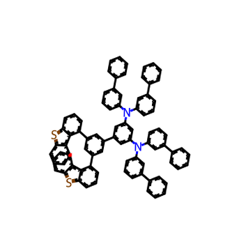 c1ccc(-c2cccc(N(c3cccc(-c4ccccc4)c3)c3cc(-c4cc(-c5cccc6sc7ccccc7c56)cc(-c5cccc6sc7ccccc7c56)c4)cc(N(c4cccc(-c5ccccc5)c4)c4cccc(-c5ccccc5)c4)c3)c2)cc1